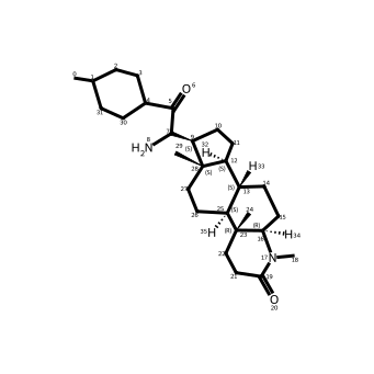 CC1CCC(C(=O)C(N)[C@H]2CC[C@H]3[C@@H]4CC[C@H]5N(C)C(=O)CC[C@]5(C)[C@H]4CC[C@]23C)CC1